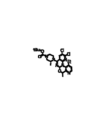 CCc1ccnc2c1N1c3nc(Cl)c(Cl)cc3C(N3CCN(C(=O)OC(C)(C)C)C[C@@H]3C)=NC1OC2C